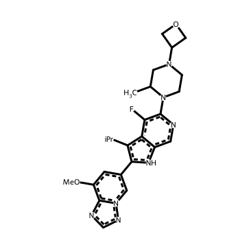 COc1cc(-c2[nH]c3cnc(N4CCN(C5COC5)CC4C)c(F)c3c2C(C)C)cn2ncnc12